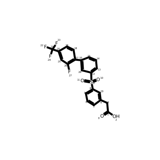 O=C(O)Cc1cccc(S(=O)(=O)c2cccc(-c3ccc(C(F)(F)F)cc3F)c2)c1